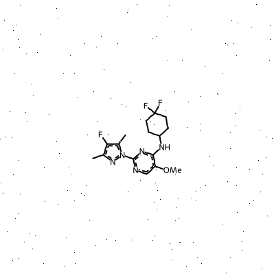 COc1cnc(-n2nc(C)c(F)c2C)nc1NC1CCC(F)(F)CC1